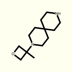 CC1(N2CCC3(CCNCC3)CC2)COC1